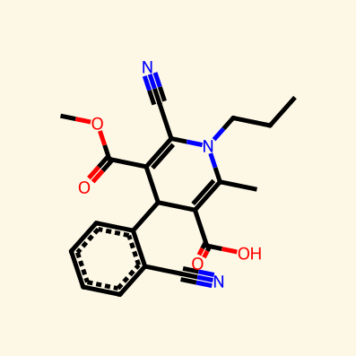 CCCN1C(C)=C(C(=O)O)C(c2ccccc2C#N)C(C(=O)OC)=C1C#N